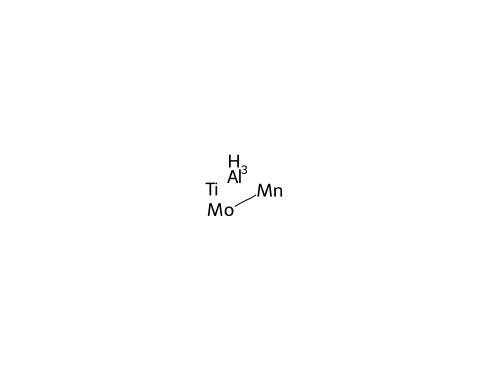 [AlH3].[Mn][Mo].[Ti]